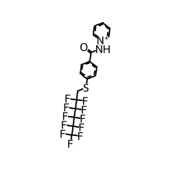 O=C(N[n+]1ccccc1)c1ccc(SCC(F)(F)C(F)(F)C(F)(F)C(F)(F)C(F)(F)F)cc1